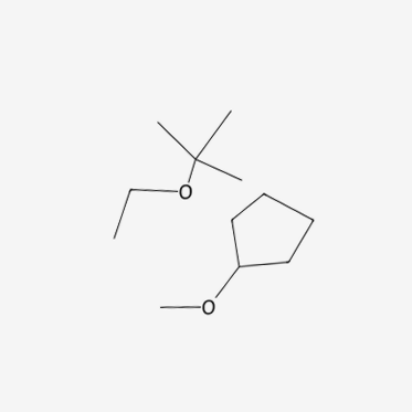 CCOC(C)(C)C.COC1CCCC1